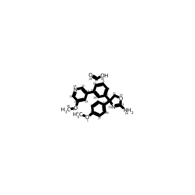 COc1ccc(C2(c3cccc(-c4cncc(OC)c4)c3)COC(N)=N2)cc1.O=CO